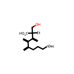 C=C(CCCCCCCCCCCCC)C(=C)C(=C)C(CC)(CO)C(=O)O